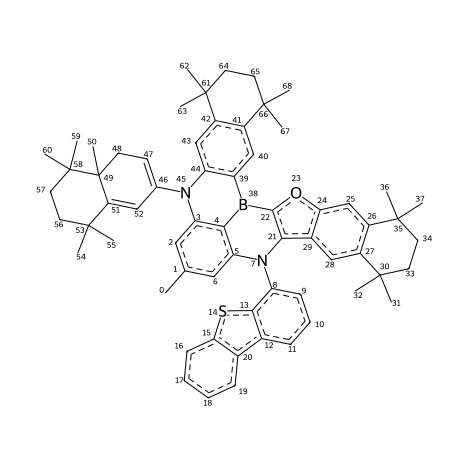 Cc1cc2c3c(c1)N(c1cccc4c1sc1ccccc14)c1c(oc4cc5c(cc14)C(C)(C)CCC5(C)C)B3c1cc3c(cc1N2C1=CCC2(C)C(=C1)C(C)(C)CCC2(C)C)C(C)(C)CCC3(C)C